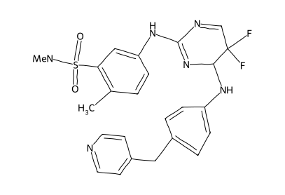 CNS(=O)(=O)c1cc(NC2=NC(Nc3ccc(Cc4ccncc4)cc3)C(F)(F)C=N2)ccc1C